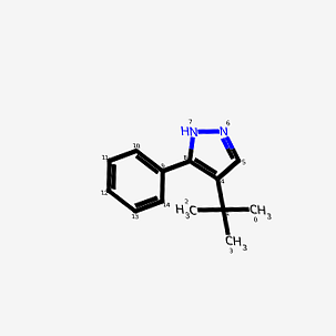 CC(C)(C)c1cn[nH]c1-c1ccccc1